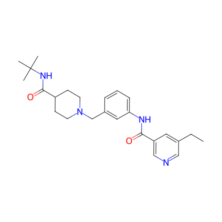 CCc1cncc(C(=O)Nc2cccc(CN3CCC(C(=O)NC(C)(C)C)CC3)c2)c1